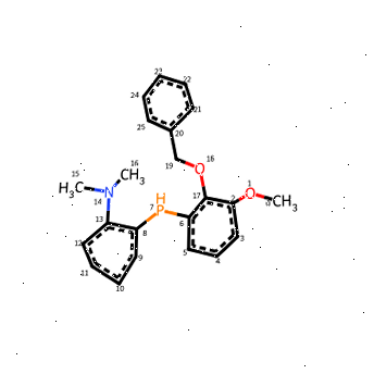 COc1cccc(Pc2ccccc2N(C)C)c1OCc1ccccc1